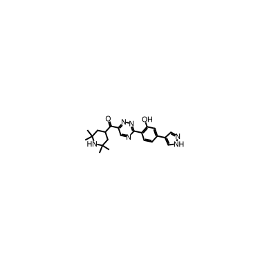 CC1(C)CC(C(=O)c2cnc(-c3ccc(-c4cn[nH]c4)cc3O)nn2)CC(C)(C)N1